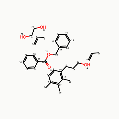 C=CC.C=CC.Cc1ccc(CCCO)c(C)c1C.O=C(OCc1ccccc1)c1ccccc1.OCCO